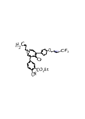 C=CCn1cc(-c2ccc(OC/C=C/C(F)(F)F)cc2)c(=O)c(-c2ccc(C#N)c(C(=O)OCC)c2)c1